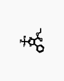 CCOC(=O)c1nc(C(F)(F)F)sc1-c1ccccc1